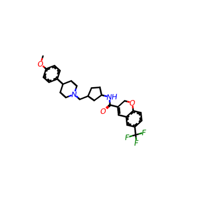 COc1ccc(C2CCN(CC3CCC(NC(=O)C4=Cc5cc(C(F)(F)F)ccc5OC4)C3)CC2)cc1